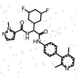 Cc1ccnc(C)c1-c1ccc(NC(=O)C(NC(=O)c2ccnn2C)C2CC(F)CC(F)C2)cc1